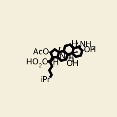 CC(=O)O[C@H]1C[C@@]2(C)[C@@H](C[C@@H](O)[C@H]3[C@@]4(C)CC[C@@H](O)[C@](C)(N)[C@@H]4CC[C@@]32N)/C1=C(\CCCC(C)C)C(=O)O